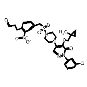 CC1(COc2c(N3CCN(S(=O)(=O)Cc4ccc(CCC=O)c([N+](=O)[O-])c4)CC3)cnn(-c3cccc(Cl)c3)c2=O)CC1